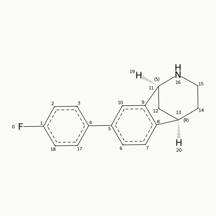 Fc1ccc(-c2ccc3c(c2)[C@@H]2C[C@H]3CCN2)cc1